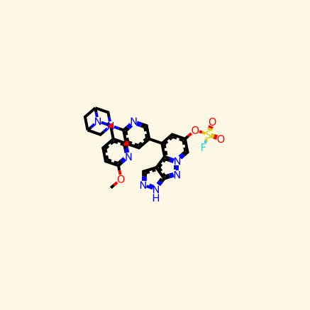 COc1ccc(CN2C3CC2CN(c2ccc(-c4cc(OS(=O)(=O)F)cn5nc6[nH]ncc6c45)cn2)C3)cn1